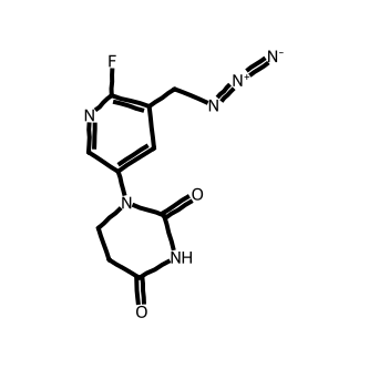 [N-]=[N+]=NCc1cc(N2CCC(=O)NC2=O)cnc1F